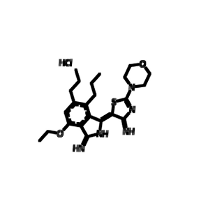 CCCc1cc(OCC)c2c(c1CCC)/C(=C1\SC(N3CCOCC3)=NC1=N)NC2=N.Cl